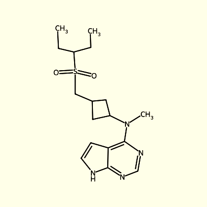 CCC(CC)S(=O)(=O)CC1CC(N(C)c2ncnc3[nH]ccc23)C1